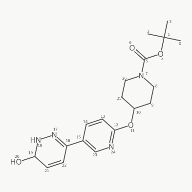 CC(C)(C)OC(=O)N1CCC(Oc2ccc(C3=NNC(O)C=C3)cn2)CC1